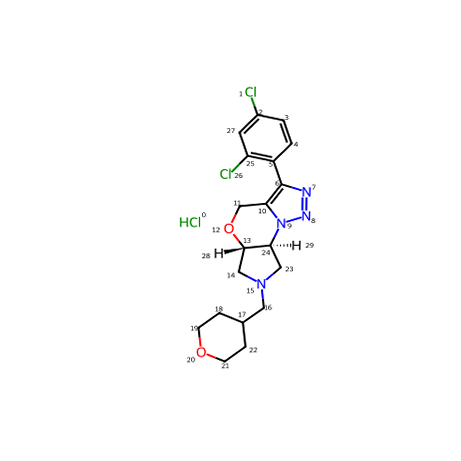 Cl.Clc1ccc(-c2nnn3c2CO[C@H]2CN(CC4CCOCC4)C[C@@H]23)c(Cl)c1